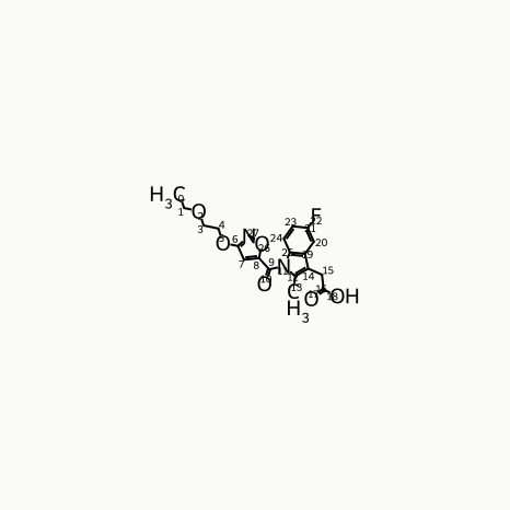 CCOCCOc1cc(C(=O)n2c(C)c(CC(=O)O)c3cc(F)ccc32)on1